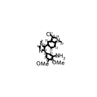 COc1cc(-c2ncn(C)c2-c2ccc3c(c2)c(Cl)cn3C)cc(N)c1OC